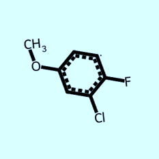 COc1c[c]c(F)c(Cl)c1